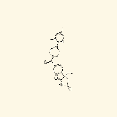 CCC1(c2ccc(C(=O)N3CCN(c4ncc(C)cc4C)CC3)cn2)CC(=O)NC1=O